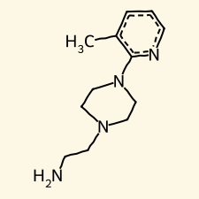 Cc1cccnc1N1CCN(CCN)CC1